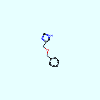 [c]1nc(COCc2ccccc2)c[nH]1